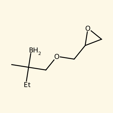 BC(C)(CC)COCC1CO1